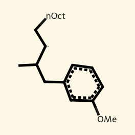 CCCCCCCCC[CH]C(C)Cc1cccc(OC)c1